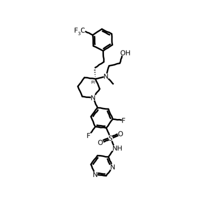 CN(CCO)[C@]1(CCc2cccc(C(F)(F)F)c2)CCCN(c2cc(F)c(S(=O)(=O)Nc3ccncn3)c(F)c2)C1